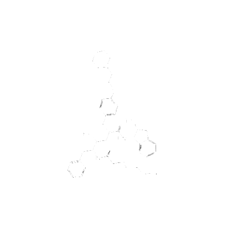 COCCOCC(=O)NC(Cc1ccccc1)C(O)CC(Cc1ccc(OCCN2CCOCC2)cc1)C(=O)N[C@H]1c2ccccc2C[C@@H]1O